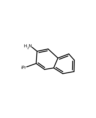 CC(C)c1cc2ccccc2cc1N